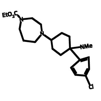 CCOC(=O)N1CCCN(C2CCC(NC)(c3ccc(Cl)cc3)CC2)CC1